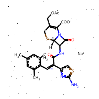 CC(=O)OCC1=C(C(=O)[O-])N2C(=O)C(NC(=O)/C(=C\c3c(C)cc(C)cc3C)c3csc(N)n3)[C@@H]2SC1.[Na+]